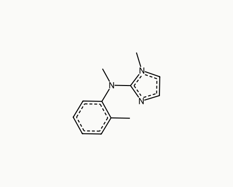 Cc1ccccc1N(C)c1nccn1C